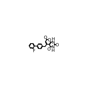 O=c1[nH]c(=O)c2c(Cc3ccc(-c4ccccc4F)cc3)cc(=O)oc2[nH]1